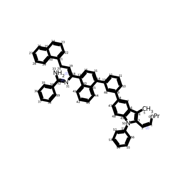 CCC/C=C\c1c(C)c2cc(-c3cccc(-c4ccc(C(=C/Cc5cccc6ccccc56)/N=C(\N)c5ccccc5)c5ccccc45)c3)ccc2n1-c1ccccc1